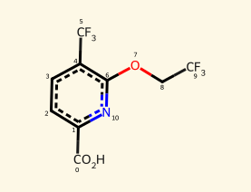 O=C(O)c1ccc(C(F)(F)F)c(OCC(F)(F)F)n1